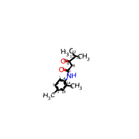 Cc1ccc(NC(=O)CC(=O)C(C)C)c(C)c1